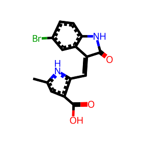 Cc1cc(C(=O)O)c(C=C2C(=O)Nc3ccc(Br)cc32)[nH]1